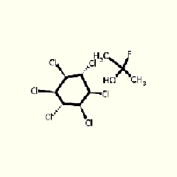 CC(C)(O)F.Cl[C@H]1[C@H](Cl)[C@@H](Cl)[C@@H](Cl)[C@H](Cl)[C@H]1Cl